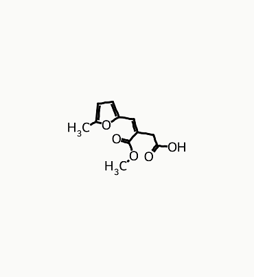 COC(=O)C(=Cc1ccc(C)o1)CC(=O)O